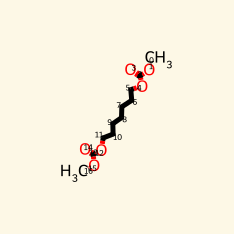 COC(=O)OCCCCCCCOC(=O)OC